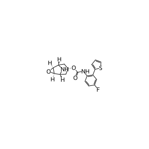 O=C(Nc1ccc(F)cc1-c1cccs1)O[C@H]1C[C@@H]2N[C@H](C1)[C@H]1O[C@H]12